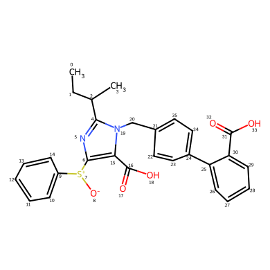 CCC(C)c1nc([S+]([O-])c2ccccc2)c(C(=O)O)n1Cc1ccc(-c2ccccc2C(=O)O)cc1